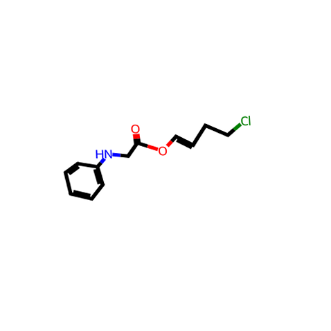 O=C(CNc1ccccc1)OC=CCCCl